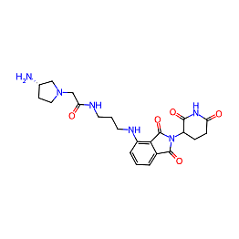 N[C@H]1CCN(CC(=O)NCCCNc2cccc3c2C(=O)N(C2CCC(=O)NC2=O)C3=O)C1